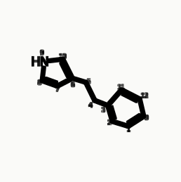 c1ccc(CCc2cc[nH]c2)cc1